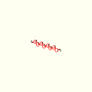 COOOOOOOOC